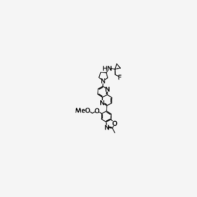 COCOc1cc2nc(C)oc2cc1-c1ccc2nc(N3CCC(NC4(CF)CC4)C3)ccc2n1